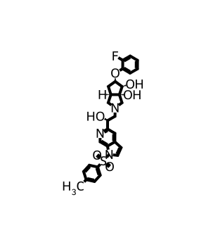 Cc1ccc(S(=O)(=O)n2ccc3cc([C@@H](O)CN4C[C@H]5C[C@H](Oc6ccccc6F)[C@H](O)[C@@]5(O)C4)ncc32)cc1